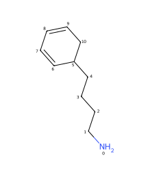 NCCCCC1C=CC=CC1